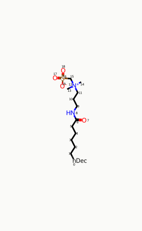 CCCCCCCCCCCCCCCC(=O)NCCC[N+](C)(C)CS(=O)(=O)[O-]